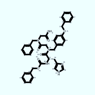 NC(=O)CN(Cc1ccccc1)C(=O)CN(Cc1ccc(OCc2ccccc2)cc1)C(=O)[C@H](Cc1c[nH]cn1)NC(=O)OCc1ccccc1